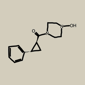 O=C([C@H]1C[C@@H]1c1ccccc1)N1CCN(O)CC1